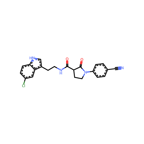 N#Cc1ccc(N2CCC(C(=O)NCCc3c[nH]c4ccc(Cl)cc34)C2=O)cc1